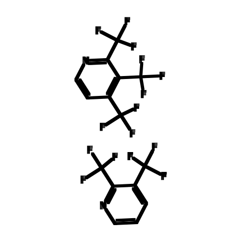 FC(F)(F)c1cccnc1C(F)(F)F.FC(F)(F)c1ccnc(C(F)(F)F)c1C(F)(F)F